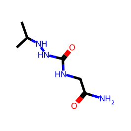 CC(C)NNC(=O)NCC(N)=O